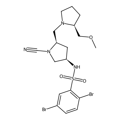 COC[C@@H]1CCCN1C[C@H]1C[C@@H](NS(=O)(=O)c2cc(Br)ccc2Br)CN1C#N